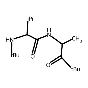 CC(NC(=O)C(NC(C)(C)C)C(C)C)C(=O)C(C)(C)C